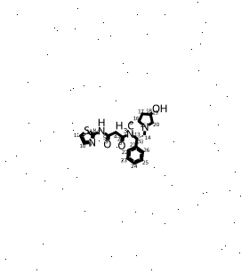 CN(C(=O)CC(=O)Nc1nccs1)[C@H](CN1CCC(O)C1)c1ccccc1